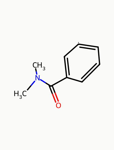 CN(C)C(=O)c1c[c]ccc1